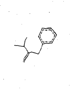 C=C(Cc1ccccc1)C(C)C